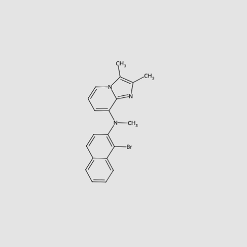 Cc1nc2c(N(C)c3ccc4ccccc4c3Br)cccn2c1C